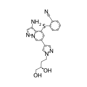 N#Cc1ccccc1Sc1cc(-c2cnn(CC[C@@H](O)CO)c2)cn2ncc(N)c12